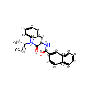 CCC[C@H](NC(=O)[C@@H](Cc1ccccc1)NC(=O)c1ccc2ccccc2c1)C(=O)O